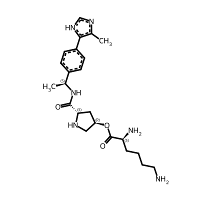 Cc1nc[nH]c1-c1ccc([C@H](C)NC(=O)[C@@H]2C[C@@H](OC(=O)[C@@H](N)CCCCN)CN2)cc1